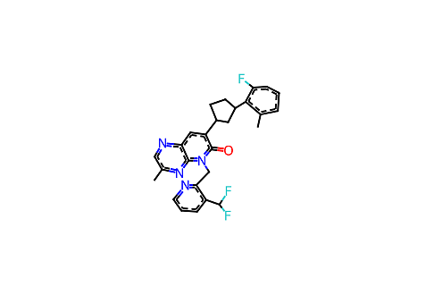 Cc1cnc2cc(C3CCC(c4c(C)cccc4F)C3)c(=O)n(Cc3ncccc3C(F)F)c2n1